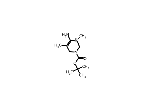 CC1=C(N)[C@H](C)CN(C(=O)OC(C)(C)C)C1